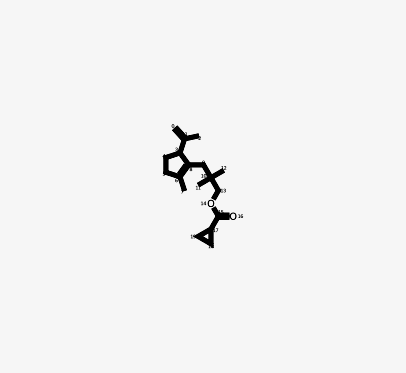 C=C(C)C1CCC(C)=C1CC(C)(C)COC(=O)C1CC1